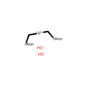 CCCCCCCCC[CH2][Ti+2][CH2]CCCCCCCCC.[OH-].[OH-]